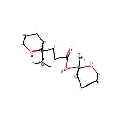 C[SiH](C)C1(CCC(=O)OC2([SiH3])CCCCO2)CCCCO1